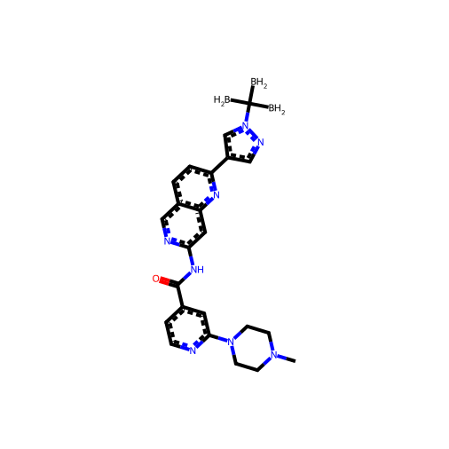 BC(B)(B)n1cc(-c2ccc3cnc(NC(=O)c4ccnc(N5CCN(C)CC5)c4)cc3n2)cn1